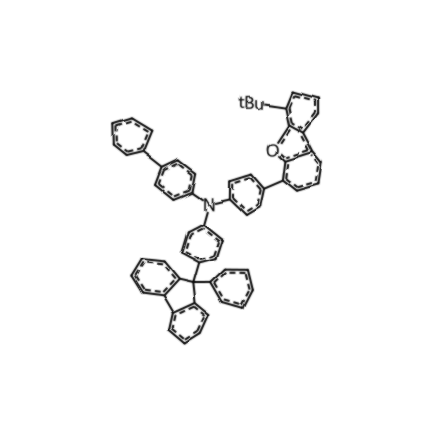 CC(C)(C)c1cccc2c1oc1c(-c3ccc(N(c4ccc(-c5ccccc5)cc4)c4ccc(C5(c6ccccc6)c6ccccc6-c6ccccc65)cc4)cc3)cccc12